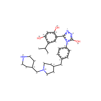 CC(C)c1cc(-c2nnc(O)n2-c2ccc(CC3CCN(CC4CCNCC4)CC3)cc2)c(O)cc1O